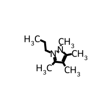 CCC[n+]1c(C)c(C)c(C)n1C